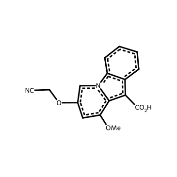 COc1cc(OCC#N)cn2c1c(C(=O)O)c1ccccc12